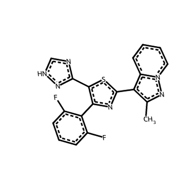 Cc1nn2ccccc2c1-c1nc(-c2c(F)cccc2F)c(-c2nc[nH]n2)s1